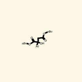 CCCCOC(=O)CC(O)(C(C)=O)C(=O)OCCCC